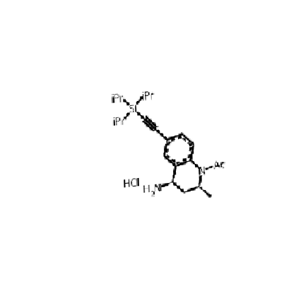 CC(=O)N1c2ccc(C#C[Si](C(C)C)(C(C)C)C(C)C)cc2[C@H](N)C[C@@H]1C.Cl